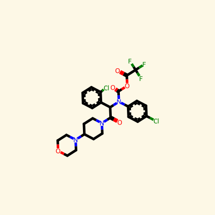 O=C(C(c1ccccc1Cl)N(C(=O)OC(=O)C(F)(F)F)c1ccc(Cl)cc1)N1CCC(N2CCOCC2)CC1